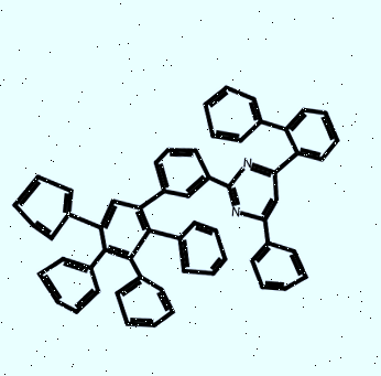 c1ccc(-c2cc(-c3ccccc3-c3ccccc3)nc(-c3cccc(-c4cc(-c5ccccc5)c(-c5ccccc5)c(-c5ccccc5)c4-c4ccccc4)c3)n2)cc1